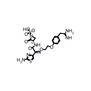 N=C(N)Cc1ccc(OCCO/N=C(\C(=O)N[C@H]2CN(S(=O)(=O)O)C2=O)c2csc(N)n2)cc1